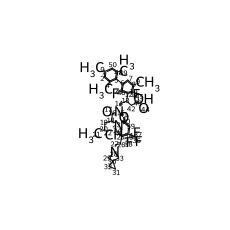 Cc1cc(C)c(-c2cc(C)c(F)c(C(/C=N/C(=O)C(CC(C)C)n3cc(CCN4CC5(CC5)C4)c(C(F)(F)F)cc3=O)CC(=O)O)c2F)c(C)c1